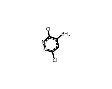 Bc1cc(Cl)nnc1Cl